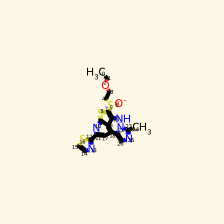 CCOCC[S+]([O-])c1sc2nc(-c3nccs3)cc3c2c1[nH]n1c(C)ncc31